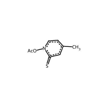 CC(=O)On1ccc(C)cc1=S